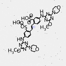 COc1nc(Nc2ccc(/C=C/c3ccc(Nc4nc(OC)nc(N5CCOCC5)n4)cc3S(=O)(=O)O)c(SOOO)c2)nc(N2CCOCC2)n1